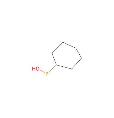 O[P]C1CCCCC1